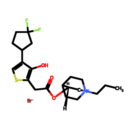 CCC[N+]12CCC(CC1)[C@@H](OC(=O)Cc1scc(C3CCC(F)(F)C3)c1O)C2.[Br-]